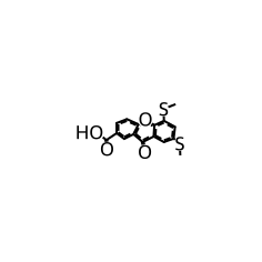 CSc1cc(SC)c2oc3ccc(C(=O)O)cc3c(=O)c2c1